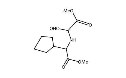 COC(=O)C(C=O)NC(C(=O)OC)C1CCCC1